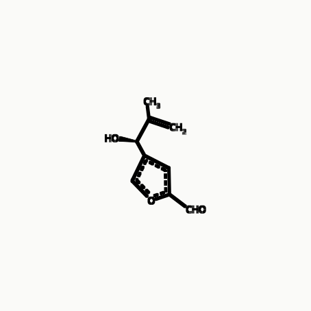 C=C(C)[C@H](O)c1coc(C=O)c1